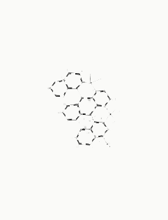 CC1(C)c2ccc3ccccc3c2-c2c3ccccc3c3c4c(ccc1c24)C(C)(C)c1cc(N)c2ccccc2c1-3